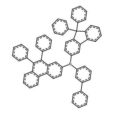 c1ccc(-c2cccc(N(c3ccc4c(c3)-c3ccccc3C4(c3ccccc3)c3ccccc3)c3ccc4c(c3)c(-c3ccccc3)c(-c3ccccc3)c3ccccc34)c2)cc1